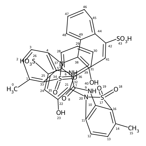 Cc1ccc2c(NC(=O)Nc3c4ccc(C)c3S(=O)(=O)N4c3c(O)cc(S(=O)(=O)O)c4ccccc34)c1S(=O)(=O)N2c1c(O)cc(S(=O)(=O)O)c2ccccc12